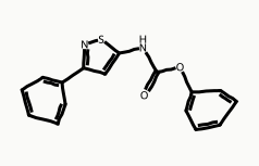 O=C(Nc1cc(-c2ccccc2)ns1)Oc1ccccc1